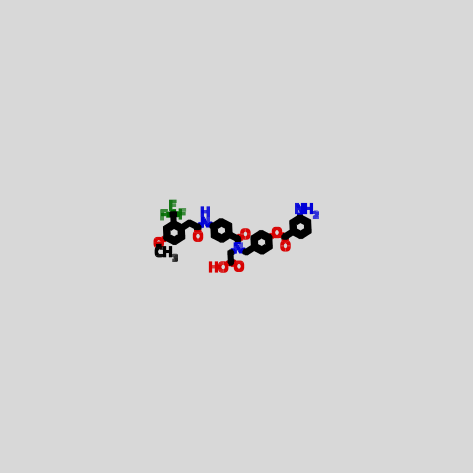 COc1ccc(CC(=O)Nc2ccc(C(=O)N(CC(=O)O)Cc3ccc(OC(=O)c4cccc(N)c4)cc3)cc2)c(C(F)(F)F)c1